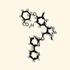 Cc1nc(-c2nnn(C)c2COc2nccc(-c3ccccn3)n2)ccc1O[C@H]1CCC[C@H](C(=O)O)C1